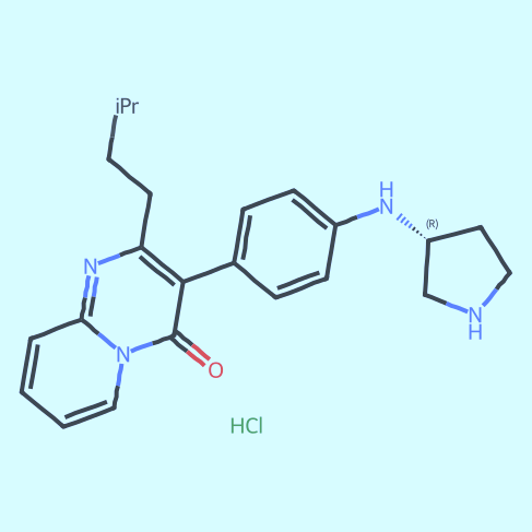 CC(C)CCc1nc2ccccn2c(=O)c1-c1ccc(N[C@@H]2CCNC2)cc1.Cl